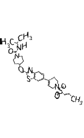 CCCS(=O)(=O)N1CC=C(c2ccc3nc(OC4CCN(C(=O)NC(C)C)CC4)sc3c2)CC1